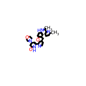 Cc1cccc(C(C)Nc2ccc3c(c2)Cc2ccnc(-c4cc(N5CCOCC5)cc(=O)[nH]4)c2O3)n1